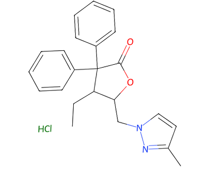 CCC1C(Cn2ccc(C)n2)OC(=O)C1(c1ccccc1)c1ccccc1.Cl